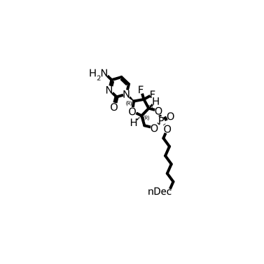 CCCCCCCCCCCCCCCCOP1(=O)OC[C@H]2O[C@@H](n3ccc(N)nc3=O)C(F)(F)[C@@H]2O1